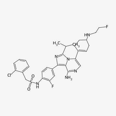 CC(C)c1nc(-c2ccc(NS(=O)(=O)Cc3ccccc3Cl)c(F)c2)c2c(N)ncc(C3=CCC(NCCF)CC3)n12